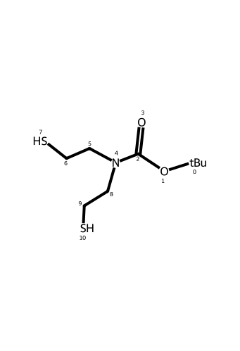 CC(C)(C)OC(=O)N(CCS)CCS